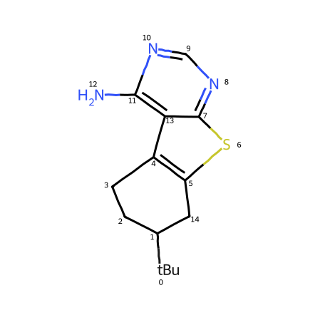 CC(C)(C)C1CCc2c(sc3ncnc(N)c23)C1